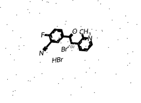 Br.Cc1ncccc1[C@H](Br)C(=O)c1ccc(F)c(C#N)c1